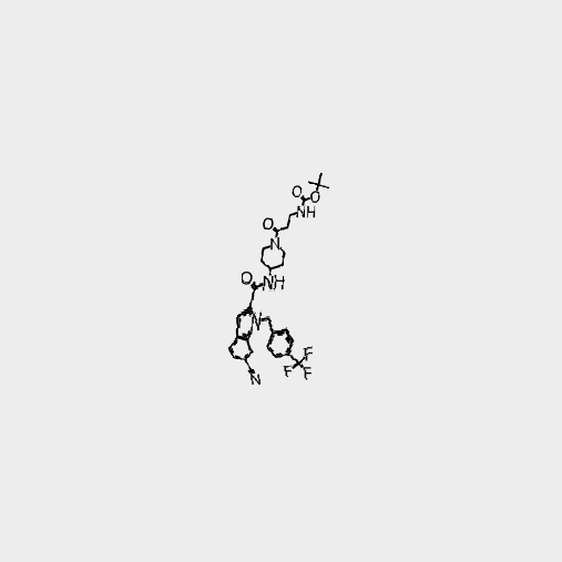 CC(C)(C)OC(=O)NCCC(=O)N1CCC(NC(=O)c2cc3ccc(C#N)cc3n2Cc2ccc(C(F)(F)F)cc2)CC1